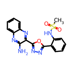 CS(=O)(=O)Nc1ccccc1-c1nnc(-c2nc3ccccc3nc2N)o1